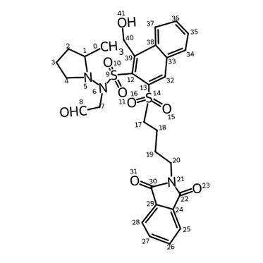 CC1CCCN1N(CC=O)S(=O)(=O)c1c(S(=O)(=O)CCCCN2C(=O)c3ccccc3C2=O)cc2ccccc2c1CO